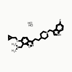 CN(C)Cc1c(OCC2CC2)ccc2c(CCC3CCN(Cc4c[nH]c5ccc(F)cc45)CC3)noc12.Cl.Cl